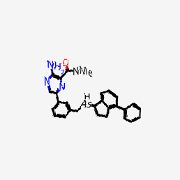 CNC(=O)c1nc(-c2cccc(C[AsH]C3CCc4c(-c5ccccc5)cccc43)c2)cnc1N